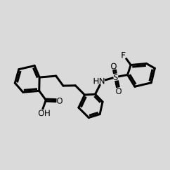 O=C(O)c1ccccc1CCCc1ccccc1NS(=O)(=O)c1ccccc1F